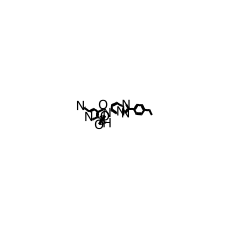 CCc1ccc(-c2nc3ccc(NC(=O)c4cc(C#N)ncc4S(C)(=O)=O)cn3n2)cc1